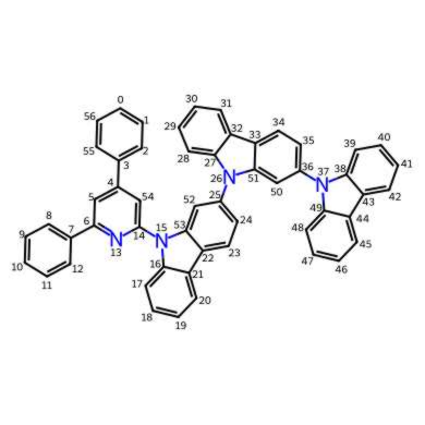 c1ccc(-c2cc(-c3ccccc3)nc(-n3c4ccccc4c4ccc(-n5c6ccccc6c6ccc(-n7c8ccccc8c8ccccc87)cc65)cc43)c2)cc1